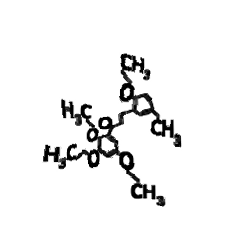 CCCOc1cc(OCCC)c(OCCC)c(C(=O)C=Cc2cc(CC)ccc2OCCC)c1